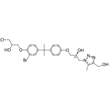 Cc1c(CO)nnn1C[C@H](O)COc1ccc(C(C)(C)c2ccc(OCC(O)CCl)c(Br)c2)cc1